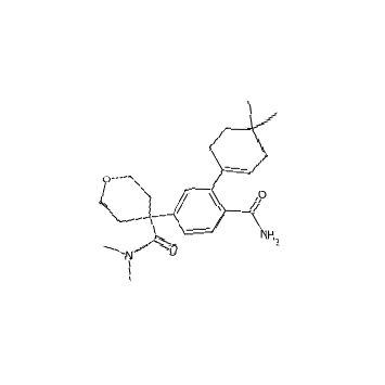 CN(C)C(=O)C1(c2ccc(C(N)=O)c(C3=CCC(C)(C)CC3)c2)CCOCC1